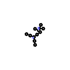 c1ccc(-c2ccc(-c3cc(-c4ccc(-c5cccc6c5cc(-c5ccccc5)n5nc(-c7ccccc7)c(-c7ccccc7)c65)cc4)cc(-c4ccc(-c5ccccc5)cc4)n3)cc2)cc1